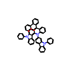 c1ccc(-n2c3ccccc3c3ccc(N(c4ccccc4-c4cc5ccccc5c5ccccc45)c4cccc5c4c4ccccc4n5-c4ccccc4)cc32)cc1